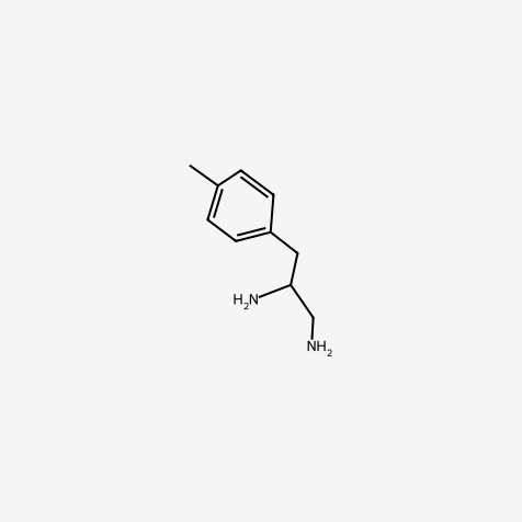 Cc1ccc(CC(N)CN)cc1